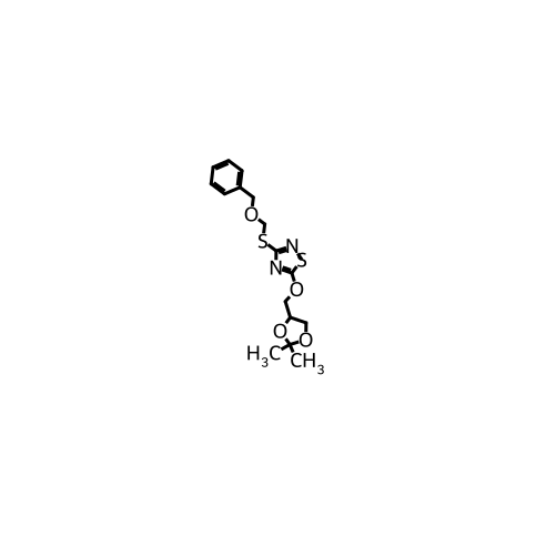 CC1(C)OCC(COc2nc(SCOCc3ccccc3)ns2)O1